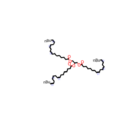 CCCC/C=C\C/C=C\C/C=C\CCCCCCC(=O)OCC(COC(=O)CCCCCC/C=C\C/C=C\C/C=C\CCCC)OC(=O)CCCCCC/C=C\C/C=C\C/C=C\CCCC